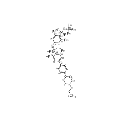 CCCC1CCC(c2ccc(-c3cc(F)c(C(F)(F)Oc4cc(F)c(C(F)(F)OC(F)(F)F)c(F)c4)c(F)c3)cc2)OC1